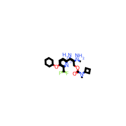 CN(N)/C(COC(=O)N(C)C1CCC1)=C(\N)c1ccc(OC2CCCCC2)c(C(F)F)n1